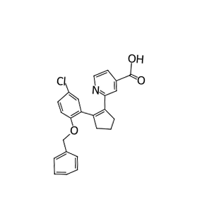 O=C(O)c1ccnc(C2=C(c3cc(Cl)ccc3OCc3ccccc3)CCC2)c1